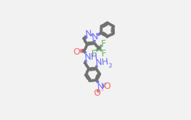 Nc1cc([N+](=O)[O-])ccc1CNC(=O)c1cnn(-c2ccccc2)c1C(F)(F)F